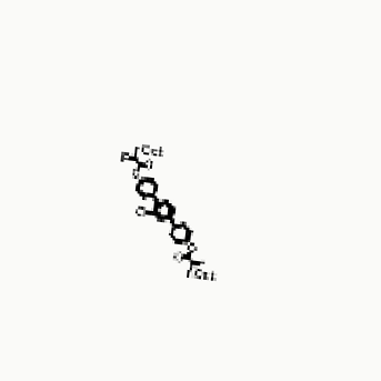 CCCCCCCC[C@H](F)C(=O)OC1CCC(c2ccc(C3CCC(OC(=O)[C@@H](F)CCCCCCCC)CC3)c(Cl)c2)CC1